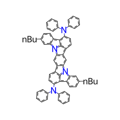 CCCCc1ccc2c3c(N(c4ccccc4)c4ccccc4)ccc4c5cc6c(cc5n(c2c1)c43)c1ccc(N(c2ccccc2)c2ccccc2)c2c3ccc(CCCC)cc3n6c12